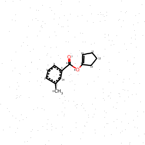 Cc1cccc(C(=O)OC2=CCCC2)c1